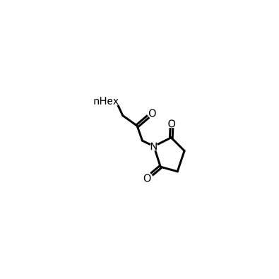 CCCCCCCC(=O)CN1C(=O)CCC1=O